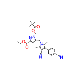 CCOC(=O)c1cc(Cn2c(C)c(C#N)c(-c3ccc(C#N)cc3)c2C)n(COC(=O)C(C)(C)C)n1